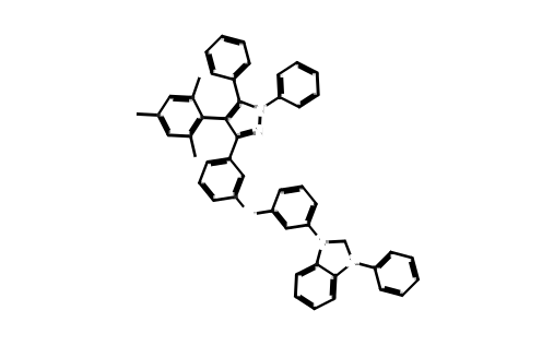 Cc1cc(C)c(-c2c(-c3cccc(Oc4cccc(N5CN(c6ccccc6)c6ccccc65)c4)c3)nn(-c3ccccc3)c2-c2ccccc2)c(C)c1